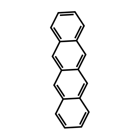 c1ccc2cc3cc4ccccc4cc3cc2c1